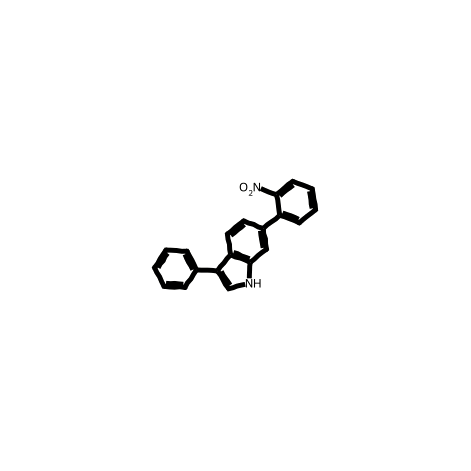 O=[N+]([O-])c1ccccc1-c1ccc2c(-c3ccccc3)c[nH]c2c1